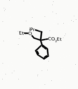 CCOCC(CC(C)C)(C(=O)OCC)c1ccccc1